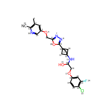 Cc1cc(OCc2nnc(C34CC(NC(O)COc5ccc(Cl)c(F)c5)(C3)C4)o2)cnc1C#N